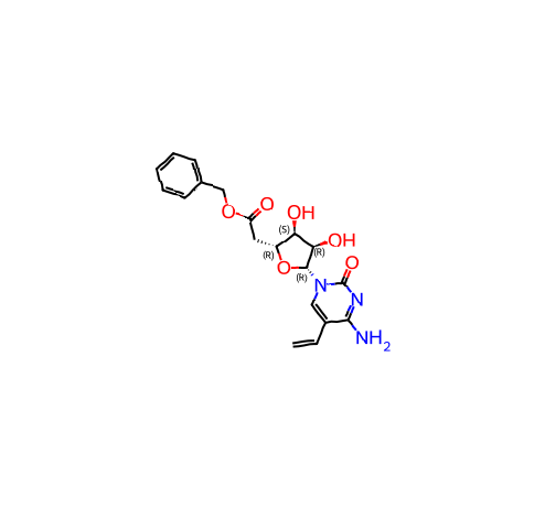 C=Cc1cn([C@@H]2O[C@H](CC(=O)OCc3ccccc3)[C@@H](O)[C@H]2O)c(=O)nc1N